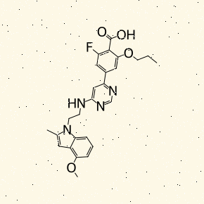 CCCOc1cc(-c2cc(NCCn3c(C)cc4c(OC)cccc43)ncn2)cc(F)c1C(=O)O